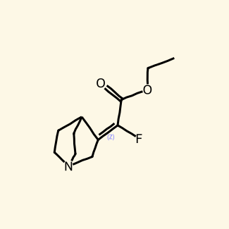 CCOC(=O)/C(F)=C1/CN2CCC1CC2